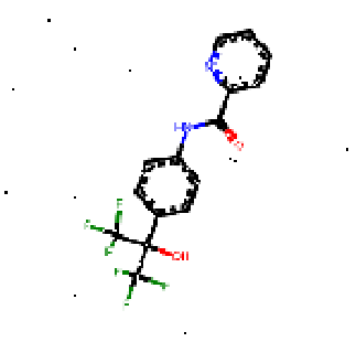 O=C(Nc1ccc(C(O)(C(F)(F)F)C(F)(F)F)cc1)c1ccccn1